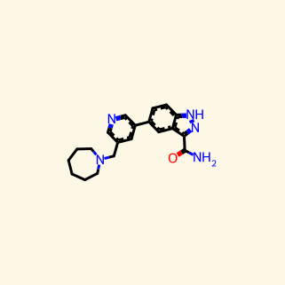 NC(=O)c1n[nH]c2ccc(-c3cncc(CN4CCCCCC4)c3)cc12